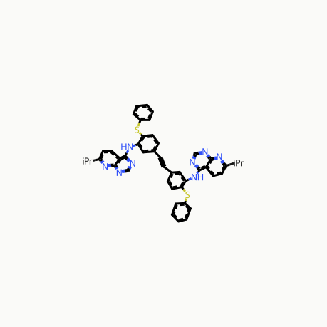 CC(C)c1ccc2c(Nc3cc(C#Cc4ccc(Sc5ccccc5)c(Nc5ncnc6nc(C(C)C)ccc56)c4)ccc3Sc3ccccc3)ncnc2n1